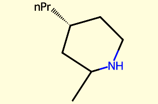 CCC[C@@H]1CCNC(C)C1